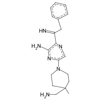 CC1(CN)CCN(c2cnc(C(=N)Cc3ccccc3)c(N)n2)CC1